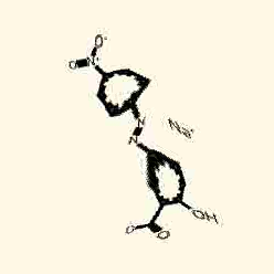 O=C([O-])c1cc(N=Nc2ccc([N+](=O)[O-])cc2)ccc1O.[Na+]